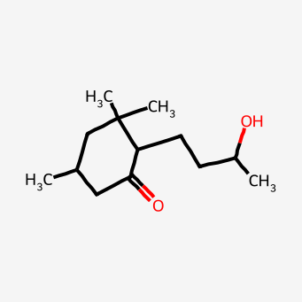 CC(O)CCC1C(=O)CC(C)CC1(C)C